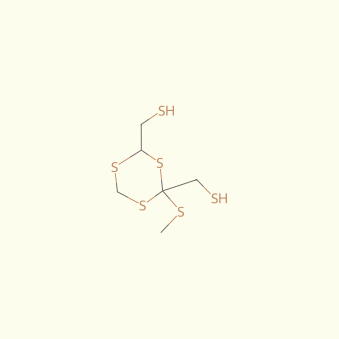 CSC1(CS)SCSC(CS)S1